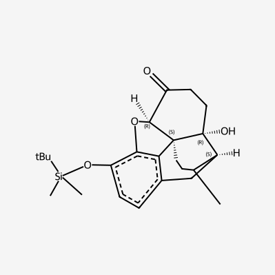 CC1CC[C@]23c4c5ccc(O[Si](C)(C)C(C)(C)C)c4O[C@H]2C(=O)CC[C@@]3(O)[C@H]1C5